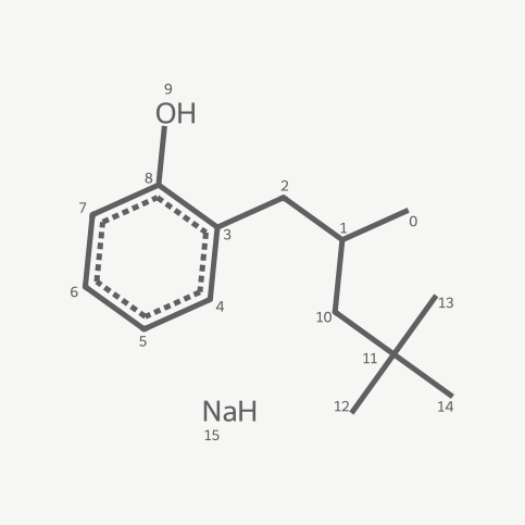 CC(Cc1ccccc1O)CC(C)(C)C.[NaH]